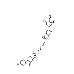 N#Cc1c(F)cc(-c2ccc(OC(=O)CCCCCCCC(=O)Oc3ccc(-c4ccc(F)cc4)c(F)c3)cc2)cc1F